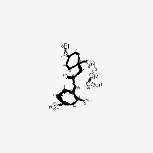 CCOC1CCC(C)(CC(=O)Cc2ccc(C)cc2C)CC1.O=C(O)O